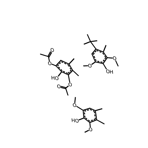 CC(=O)Oc1cc(C)c(C)c(OC(C)=O)c1O.COc1cc(C(C)(C)C)c(C)c(OC)c1O.COc1cc(C)c(C)c(OC)c1O